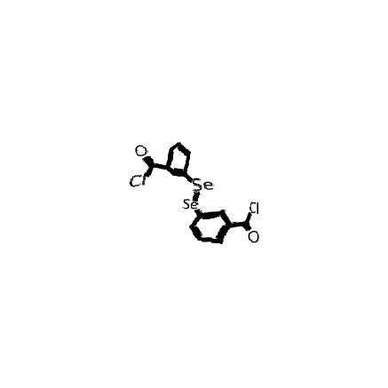 O=C(Cl)c1cccc([Se][Se]c2cccc(C(=O)Cl)c2)c1